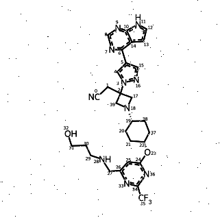 N#CCC1(n2cc(-c3ncnc4[nH]ccc34)cn2)CN([C@H]2CC[C@@H](Oc3cc(CNCCCO)nc(C(F)(F)F)n3)CC2)C1